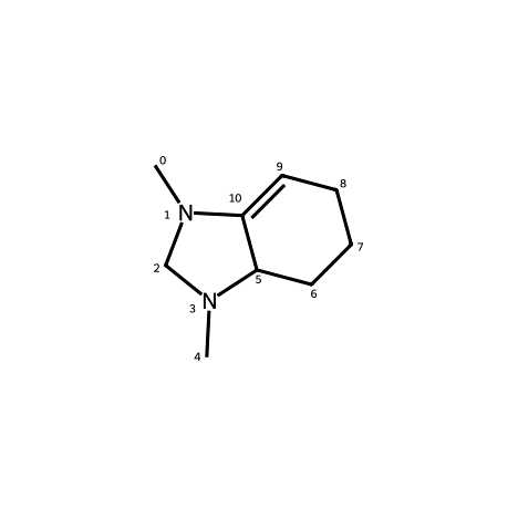 CN1CN(C)C2CCCC=C21